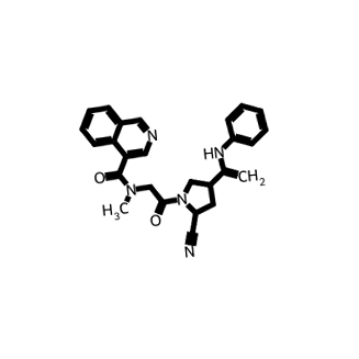 C=C(Nc1ccccc1)C1CC(C#N)N(C(=O)CN(C)C(=O)c2cncc3ccccc23)C1